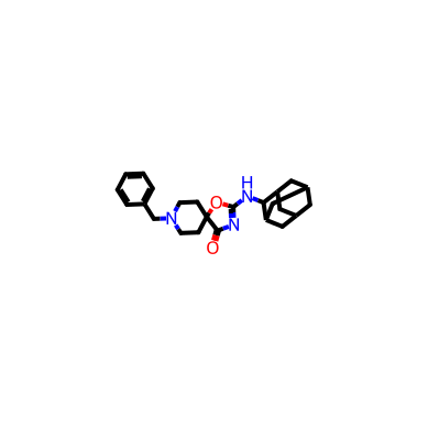 O=C1N=C(NC2C3CC4CC(C3)CC2C4)OC12CCN(Cc1ccccc1)CC2